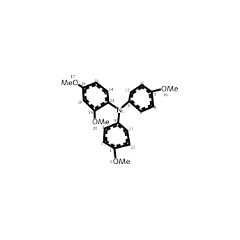 COc1ccc(N(c2ccc(OC)cc2)c2ccc(OC)cc2OC)cc1